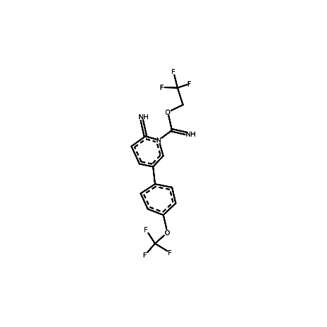 N=C(OCC(F)(F)F)n1cc(-c2ccc(OC(F)(F)F)cc2)ccc1=N